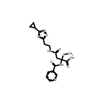 COC(CC(=O)NCCc1nc(C2CC2)no1)(NC(=O)c1cccnc1)C(=O)O